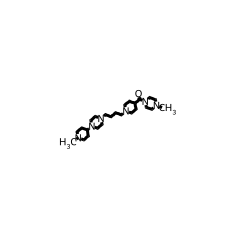 CN1CCC(N2CCN(CCCCN3CCC(C(=O)N4CCN(C)CC4)CC3)CC2)CC1